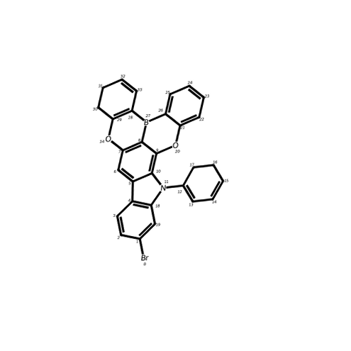 Brc1ccc2c3cc4c5c(c3n(C3=CC=CCC3)c2c1)Oc1ccccc1B5C1=C(CCC=C1)O4